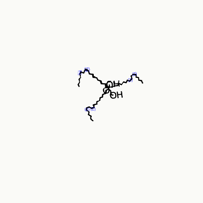 CCCCC/C=C\C/C=C\CCCCCCCCCC(O)(CCCCCCCC/C=C\C/C=C\CCCCC)C(CCO)OCCCCCCCC/C=C\C/C=C\CCCCC